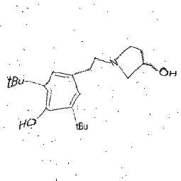 CC(C)(C)c1cc(CN2CC(O)C2)cc(C(C)(C)C)c1O